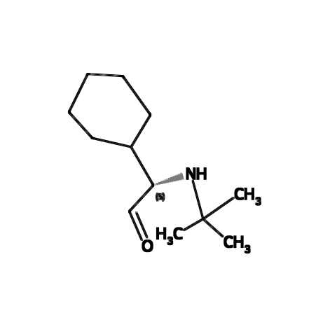 CC(C)(C)N[C@H](C=O)C1CCCCC1